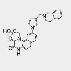 O=C(O)Cn1c(=O)c(=O)[nH]c2ccc3ccc(-n4ccc(CN5CCc6ccccc6C5)c4)cc3c21